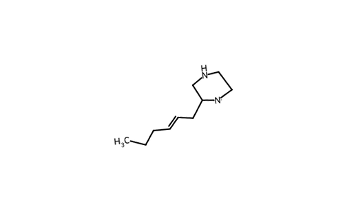 CCC/C=C/CC1CNCC[N]1